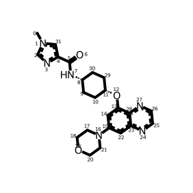 Cn1cnc(C(=O)N[C@H]2CC[C@@H](Oc3cc(N4CCOCC4)cc4nccnc34)CC2)c1